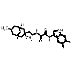 CC1C[C@@H]2C[C@H](C1)CC(C)(CCNC(=O)C(=O)Nc1c[nH]c3cc(F)c(F)cc13)C2